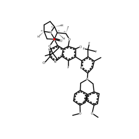 COc1ccc(CN(Cc2ccc(OC)cc2)c2cc(C)c(C(F)(F)F)c(-c3c(Cl)c4c5c(nc(Cl)nc5c3F)N3C[C@H]5CC[C@@H]([C@H]3[C@H](C)O4)N5C(=O)OC(C)(C)C)n2)cc1